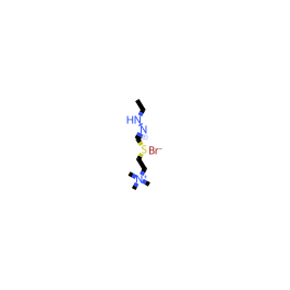 CCN/N=C/SCC[N+](C)(C)C.[Br-]